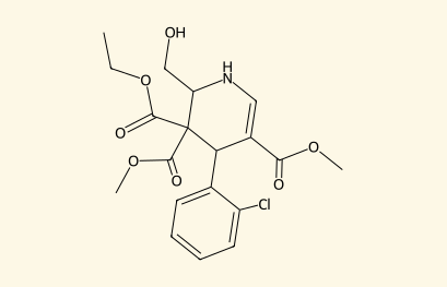 CCOC(=O)C1(C(=O)OC)C(CO)NC=C(C(=O)OC)C1c1ccccc1Cl